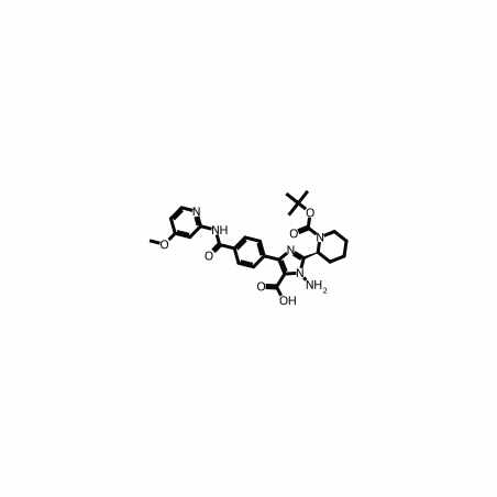 COc1ccnc(NC(=O)c2ccc(-c3nc([C@@H]4CCCCN4C(=O)OC(C)(C)C)n(N)c3C(=O)O)cc2)c1